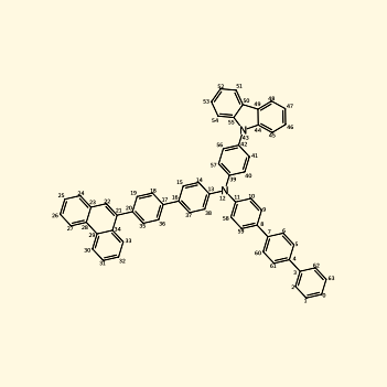 c1ccc(-c2ccc(-c3ccc(N(c4ccc(-c5ccc(-c6cc7ccccc7c7ccccc67)cc5)cc4)c4ccc(-n5c6ccccc6c6ccccc65)cc4)cc3)cc2)cc1